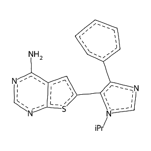 CC(C)n1cnc(-c2ccccc2)c1-c1cc2c(N)ncnc2s1